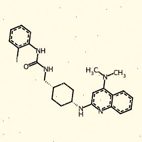 CN(C)c1cc(N[C@H]2CC[C@@H](CNC(=O)Nc3ccccc3I)CC2)nc2ccccc12